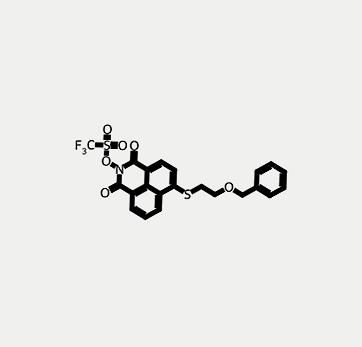 O=C1c2cccc3c(SCCOCc4ccccc4)ccc(c23)C(=O)N1OS(=O)(=O)C(F)(F)F